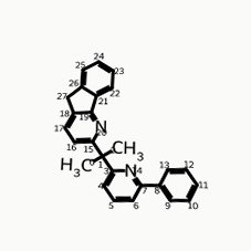 CC(C)(c1cccc(-c2ccccc2)n1)c1ccc2c(n1)-c1ccccc1C2